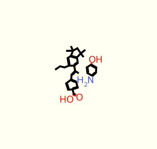 CCCc1cc2c(cc1C(C)=Cc1ccc(C(=O)O)cc1)C(C)(C)CC2(C)C.Nc1ccc(O)cc1